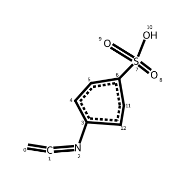 C=C=Nc1ccc(S(=O)(=O)O)cc1